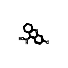 ONc1c2c(nc3cc(Cl)ccc13)CCCC2